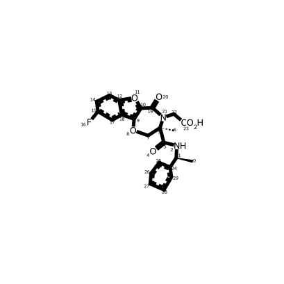 C[C@H](NC(=O)[C@@]1(C)COc2c(oc3ccc(F)cc23)C(=O)N1CC(=O)O)c1ccccc1